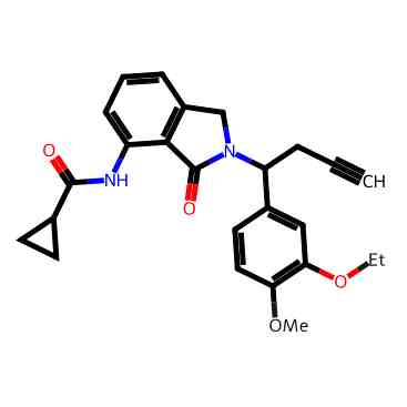 C#CCC(c1ccc(OC)c(OCC)c1)N1Cc2cccc(NC(=O)C3CC3)c2C1=O